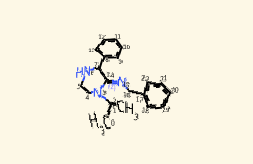 CC(C)N1CCNC(c2ccccc2)/C1=N/Cc1ccccc1